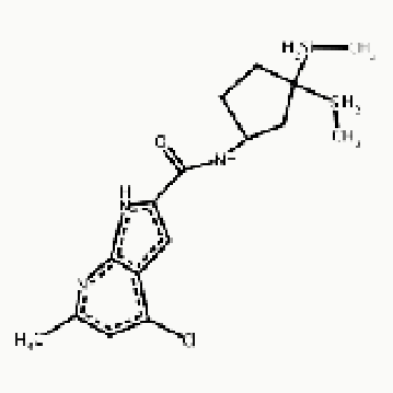 C[SiH2]C1([SiH2]C)CCC(NC(=O)c2cc3c(Cl)cc(C)nc3[nH]2)C1